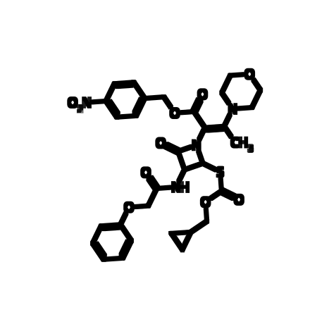 CC(=C(C(=O)OCc1ccc([N+](=O)[O-])cc1)N1C(=O)C(NC(=O)COc2ccccc2)C1SC(=O)OCC1CC1)N1CCOCC1